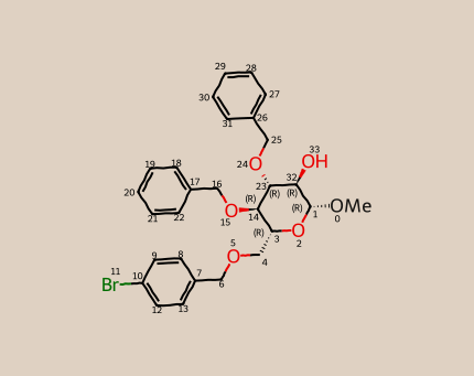 CO[C@@H]1O[C@H](COCc2ccc(Br)cc2)[C@@H](OCc2ccccc2)[C@H](OCc2ccccc2)[C@H]1O